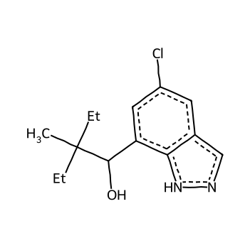 CCC(C)(CC)C(O)c1cc(Cl)cc2cn[nH]c12